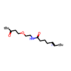 CC(C)(C)/C=C/CCCC(=O)NCCOCCC(=O)C(C)(C)C